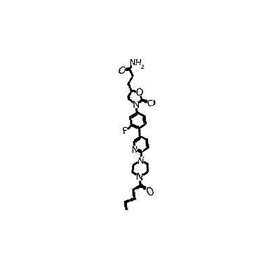 CCCCC(=O)N1CCN(c2ccc(-c3ccc(N4CC(CCC(N)=O)OC4=O)cc3F)cn2)CC1